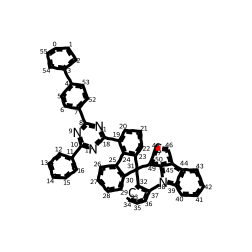 c1ccc(-c2ccc(-c3nc(-c4ccccc4)nc(-c4cccc5c4-c4ccccc4C54c5ccccc5-n5c6ccccc6c6cccc4c65)n3)cc2)cc1